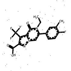 CCn1c(-c2ccc(F)c(C)c2)cn2nc(C(=O)O)c(C(F)(F)F)c2c1=O